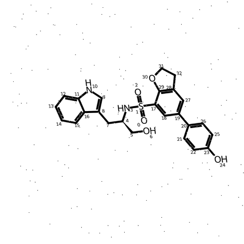 O=S(=O)(N[C@@H](CO)Cc1c[nH]c2ccccc12)c1cc(-c2ccc(O)cc2)cc2c1OCC2